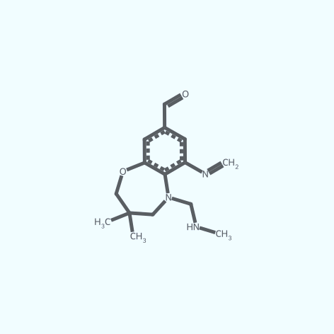 C=Nc1cc(C=O)cc2c1N(CNC)CC(C)(C)CO2